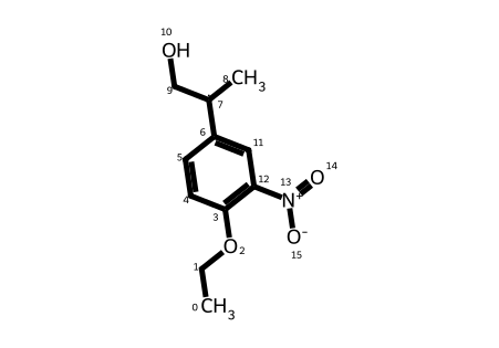 CCOc1ccc([C](C)CO)cc1[N+](=O)[O-]